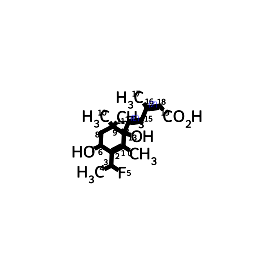 CC1=C(C(C)F)C(O)CC(C)(C)C1(O)/C=C/C(C)=C\C(=O)O